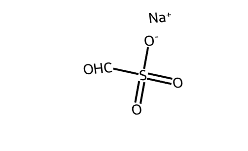 O=CS(=O)(=O)[O-].[Na+]